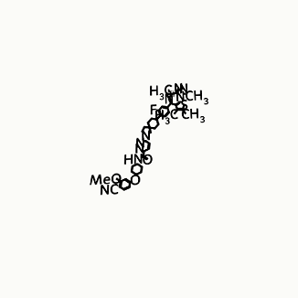 COc1cc(OC2CCC(NC(=O)c3ccc(N4CCC5(CCC(c6ccc(C7=N[C@@H](C)c8nnc(C)n8-c8sc(C)c(C)c87)cc6F)CC5)C4)nn3)CC2)ccc1C#N